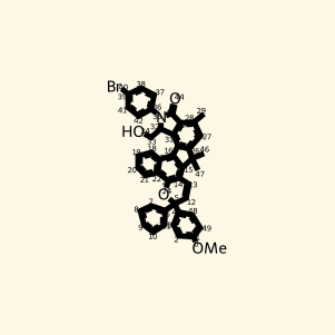 COc1ccc(C2(c3ccccc3)C=Cc3c4c(c5ccccc5c3O2)-c2c(cc(C)c3c2C(CO)N(c2ccc(Br)cc2)C3=O)C4(C)C)cc1